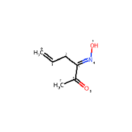 C=CC/C(=N\O)C(C)=O